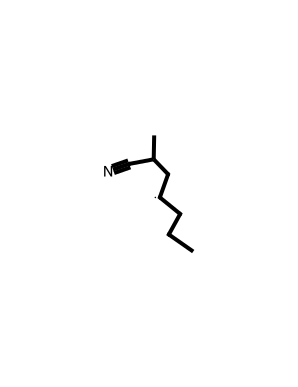 CCC[CH]CC(C)C#N